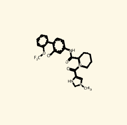 CN1C=C(C(=O)N2CCCCC2C(=O)Nc2ccc(-c3ccccc3OC(F)(F)F)c(Cl)c2)NC1